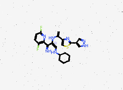 C=C(N/C(=C/NC1CCCCC1)C(=N)c1nc(F)ccc1F)c1csc(-c2cn[nH]c2)n1